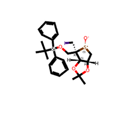 CC1(C)O[C@H]2C[S@@+]([O-])[C@](CI)(CO[Si](c3ccccc3)(c3ccccc3)C(C)(C)C)[C@H]2O1